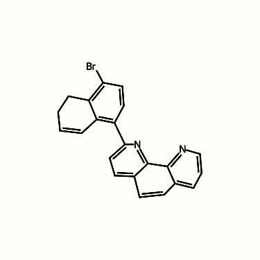 Brc1ccc(-c2ccc3ccc4cccnc4c3n2)c2c1CCC=C2